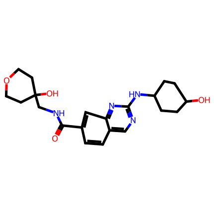 O=C(NCC1(O)CCOCC1)c1ccc2cnc(NC3CCC(O)CC3)nc2c1